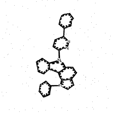 c1ccc(-c2ccc(-n3c4ccccc4c4c5c(ccc43)ccn5-c3ccccc3)nn2)cc1